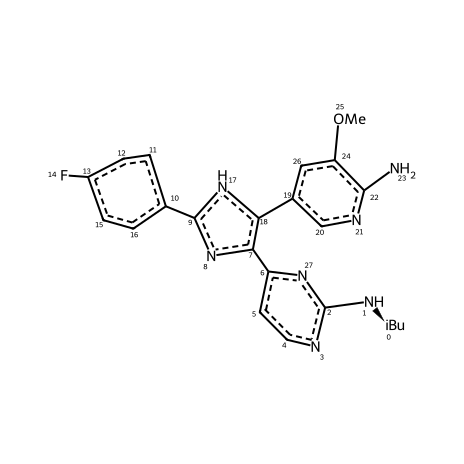 CC[C@H](C)Nc1nccc(-c2nc(-c3ccc(F)cc3)[nH]c2-c2cnc(N)c(OC)c2)n1